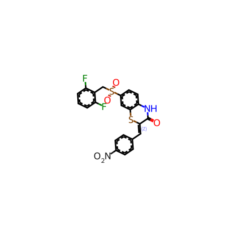 O=C1Nc2ccc(S(=O)(=O)Cc3c(F)cccc3F)cc2S/C1=C\c1ccc([N+](=O)[O-])cc1